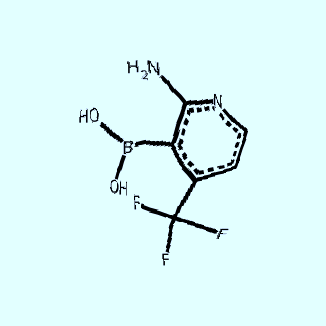 Nc1nccc(C(F)(F)F)c1B(O)O